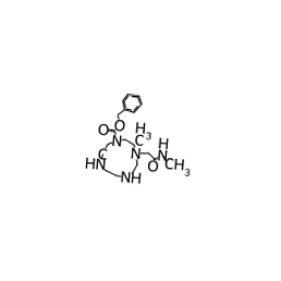 CNC(=O)CN1CCNCCNCCN(C(=O)OCc2ccccc2)CC1C